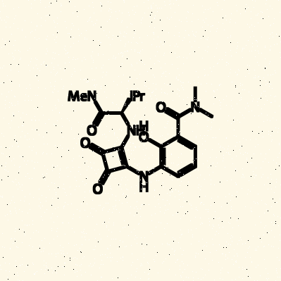 CNC(=O)[C@H](Nc1c(Nc2cccc(C(=O)N(C)C)c2O)c(=O)c1=O)C(C)C